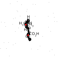 CC(c1nc2c([nH]1)CCNC2)c1nc2ccc(C(=O)NCCOc3ccc(C(=O)OCc4ccccc4)cc3C(=O)O)cc2n1C